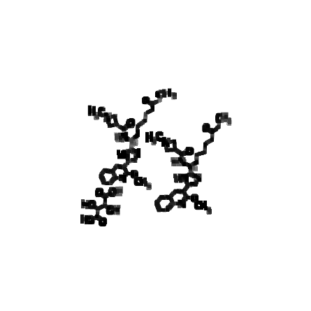 CCC(=O)CCCCC[C@H](NC(=O)C1CN(C)C1)c1ncc(-c2cc3ccccc3nc2OC)[nH]1.CCC(=O)CCCCC[C@H](NC(=O)C1CN(C)C1)c1ncc(-c2cc3ccccc3nc2OC)[nH]1.O=C(O)C(O)C(O)C(=O)O